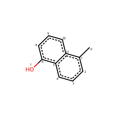 Cc1cccc2c(O)cc[c]c12